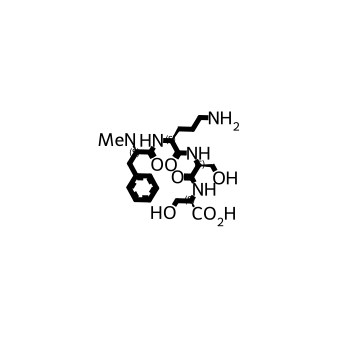 CN[C@@H](Cc1ccccc1)C(=O)N[C@@H](CCCN)C(=O)N[C@@H](CO)C(=O)N[C@@H](CO)C(=O)O